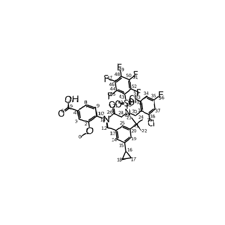 COc1cc(C(=O)O)ccc1N(Cc1cc(C2CC2)cc(C(C)(C)C)c1)C(=O)CN(Cc1c(Cl)cc(F)cc1Cl)S(=O)(=O)c1c(F)c(F)c(F)c(F)c1F